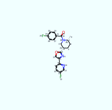 C[C@@H]1CC[C@H](c2nc(-c3ccc(F)cn3)co2)CN1C(=O)c1ccc(F)cc1